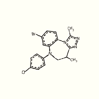 Cc1nnc2n1-c1ccc(Br)cc1N(c1ccc(Cl)cc1)CC2C